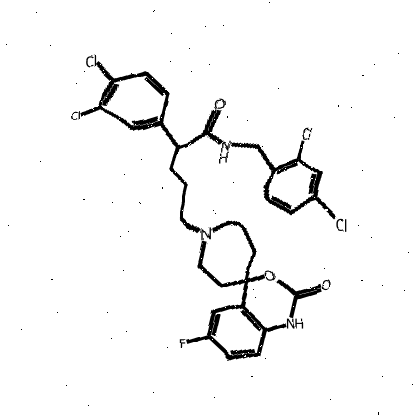 O=C1Nc2ccc(F)cc2C2(CCN(CCCC(C(=O)NCc3ccc(Cl)cc3Cl)c3ccc(Cl)c(Cl)c3)CC2)O1